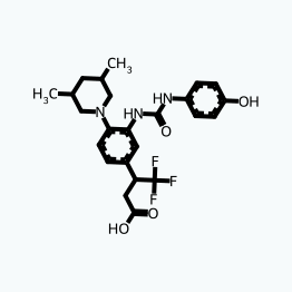 CC1CC(C)CN(c2ccc(C(CC(=O)O)C(F)(F)F)cc2NC(=O)Nc2ccc(O)cc2)C1